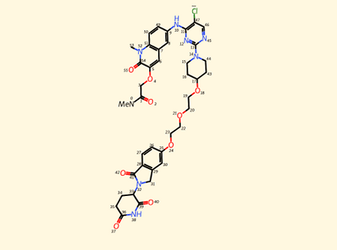 CNC(=O)COc1cc2cc(Nc3nc(N4CCC(OCCOCCOc5ccc6c(c5)CN(C5CCC(=O)NC5=O)C6=O)CC4)ncc3Cl)ccc2n(C)c1=O